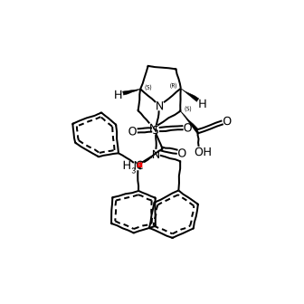 CN(Cc1ccccc1)S(=O)(=O)N1[C@H]2CC[C@@H]1[C@@H](C(=O)O)N(C(=O)N(c1ccccc1)c1ccccc1)C2